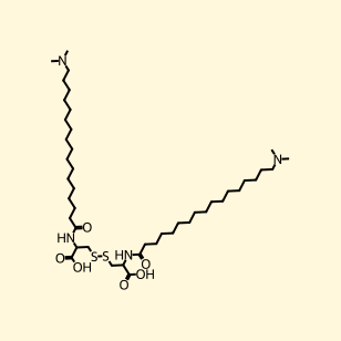 CN(C)CCCCCCCCCCCCCCCCC(=O)NC(CSSCC(NC(=O)CCCCCCCCCCCCCCCCN(C)C)C(=O)O)C(=O)O